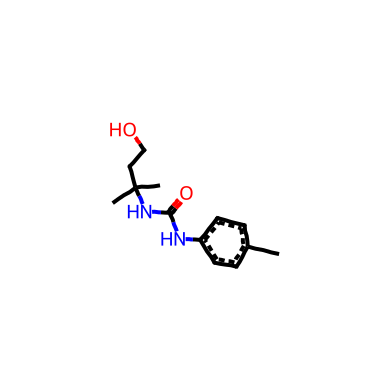 Cc1ccc(NC(=O)NC(C)(C)CCO)cc1